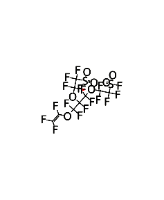 O=S(=O)(F)C(F)(F)C(F)(F)OC(F)(F)C(F)(OC(F)(F)C(F)(F)S(=O)(=O)F)C(F)(F)OC(F)=C(F)F